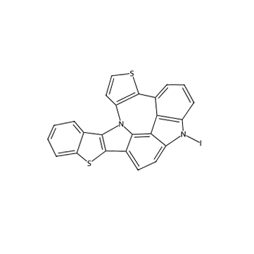 In1c2cccc3c4sccc4n4c5c6ccccc6sc5c5ccc1c(c32)c54